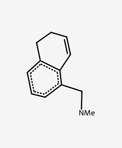 CNCc1cccc2c1C=CCC2